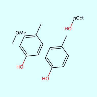 CCCCCCCCO.COC.Cc1ccc(O)cc1.Cc1ccc(O)cc1